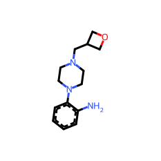 Nc1ccccc1N1CCN(CC2COC2)CC1